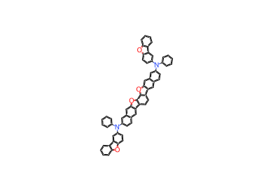 c1ccc(N(c2ccc3cc4c(cc3c2)oc2c4ccc3c4cc5ccc(N(c6ccccc6)c6ccc7oc8ccccc8c7c6)cc5cc4oc32)c2ccc3oc4ccccc4c3c2)cc1